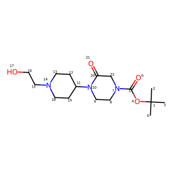 CC(C)(C)OC(=O)N1CCN(C2CCN(CCO)CC2)C(=O)C1